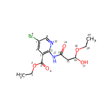 CCOC(=O)c1cc(Br)cnc1NC(=O)CC(O)OCC